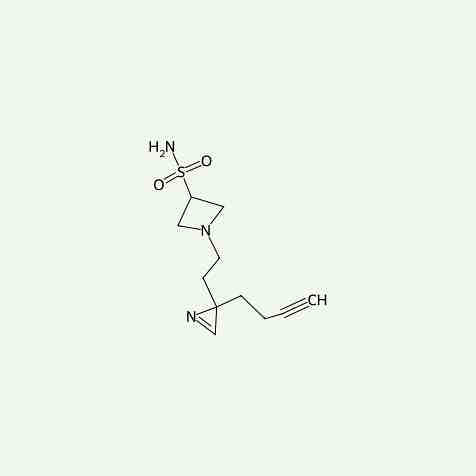 C#CCCC1(CCN2CC(S(N)(=O)=O)C2)C=N1